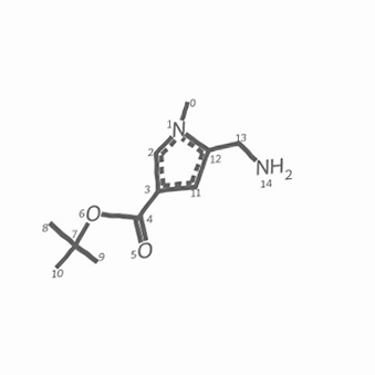 Cn1cc(C(=O)OC(C)(C)C)cc1CN